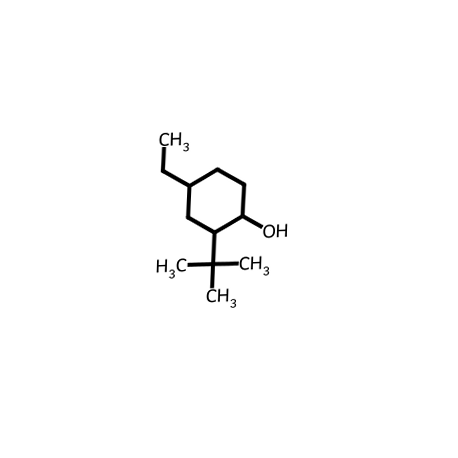 CCC1CCC(O)C(C(C)(C)C)C1